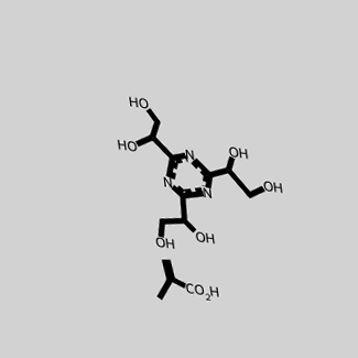 C=C(C)C(=O)O.OCC(O)c1nc(C(O)CO)nc(C(O)CO)n1